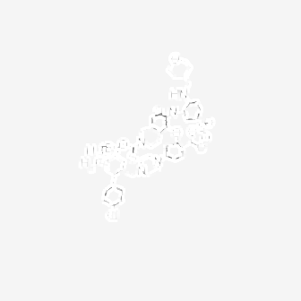 CC1(C)CCC(CN2CCN(c3ccc(C(=O)OS(=O)(=O)c4ccc(NCC5CCOCC5)c([N+](=O)[O-])c4)c(Oc4cccc5c4CCN(C(=O)OC(C)(C)C)C5)c3)CC2)=C(c2ccc(Cl)cc2)C1